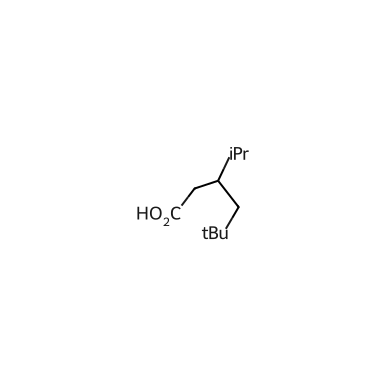 CC(C)C(CC(=O)O)CC(C)(C)C